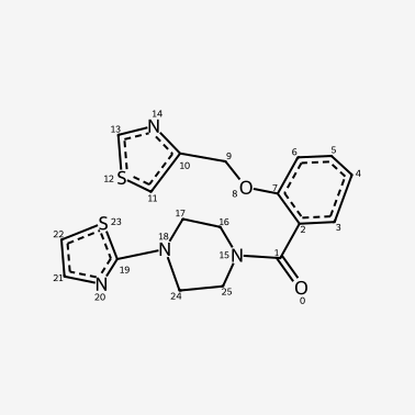 O=C(c1ccccc1OCc1cscn1)N1CCN(c2nccs2)CC1